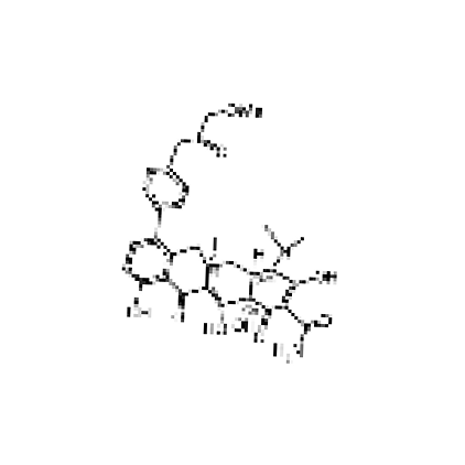 COCC(=O)Cc1ccc(-c2ccc(O)c3c2C[C@H]2C[C@H]4[C@@H](N(C)C)C(O)=C(C(N)=O)C(=O)[C@@]4(O)C(O)=C2C3=O)nc1